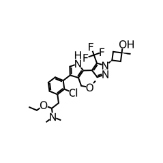 CCOC(Cc1cccc(-c2c[nH]c(-c3cnn([C@H]4C[C@](C)(O)C4)c3C(F)(F)F)c2COC)c1Cl)N(C)C